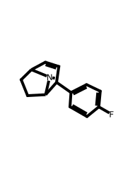 CN1C2C=CC(c3ccc(F)cc3)C1CC2